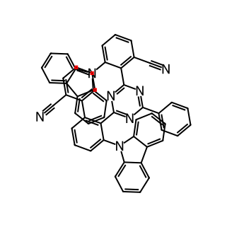 N#Cc1ccccc1-c1cccc(-n2c3ccccc3c3ccccc32)c1-c1nc(-c2ccccc2)nc(-c2c(C#N)cccc2-n2c3ccccc3c3ccccc32)n1